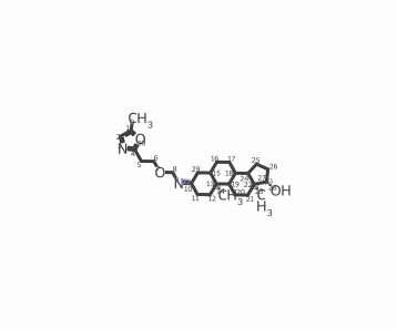 Cc1cnc(CCOC/N=C2/CC[C@@]3(C)C(CCC4C3CC[C@@]3(C)C4CC[C@@H]3O)C2)o1